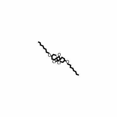 CCCCCCCCOC1CC[C@]2(CC1)C(=O)[C@@]1(CCC(OCCCCCCCC)CC1)C2(Cl)Cl